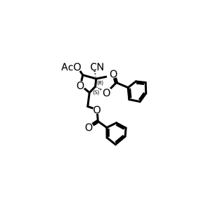 CC(=O)OC1OC(COC(=O)c2ccccc2)[C@@H](OC(=O)c2ccccc2)[C@@]1(C)C#N